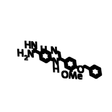 COc1cc(C(CN)Nc2ccc(C(=N)N)cc2)ccc1OCc1ccccc1